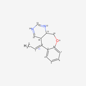 C/C=C1/c2ccccc2OCC2N=CN=CC12